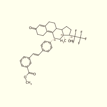 COC(=O)c1cccc(C=Cc2ccc([C@H]3C[C@@]4(C)C(CC[C@@]4(O)C(F)(F)C(F)(F)F)C4CCC5=CC(=O)CCC5=C43)cc2)c1